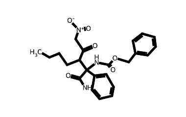 CCCCC(C(=O)C[N+](=O)[O-])C(NC(=O)OCc1ccccc1)(C(N)=O)c1ccccc1